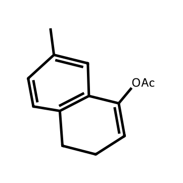 CC(=O)OC1=CCCc2ccc(C)cc21